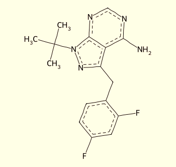 CC(C)(C)n1nc(Cc2ccc(F)cc2F)c2c(N)ncnc21